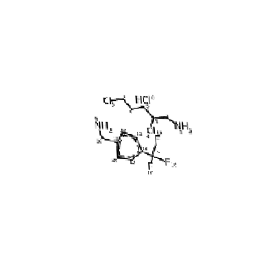 Cl.NCC(Cl)CCCCl.NCc1ccc(C(F)(F)F)cc1